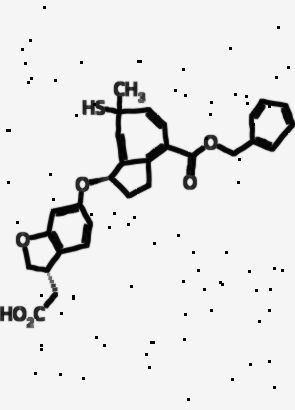 CC1(S)C=CC(C(=O)OCc2ccccc2)=C2CC[C@@H](Oc3ccc4c(c3)OC[C@H]4CC(=O)O)C2=C1